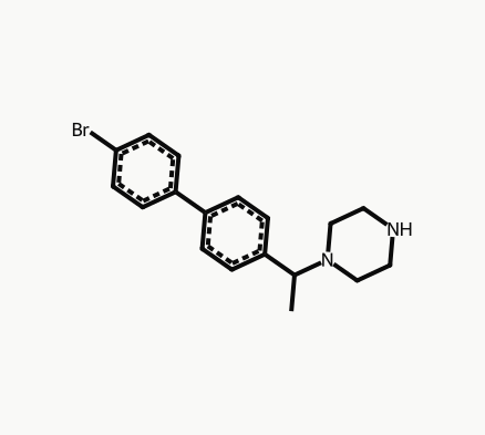 CC(c1ccc(-c2ccc(Br)cc2)cc1)N1CCNCC1